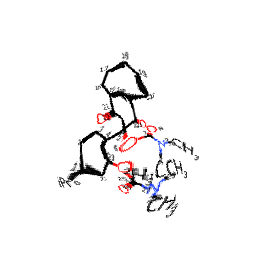 CC(C)c1ccc(C2(OC(=O)N(C)C)C(=O)C3=C(CC=CC=C3)C2=O)c(OC(=O)N(C)C)c1